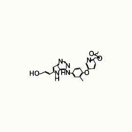 Cc1cc(Nc2ncnc3cc(C=CCO)[nH]c23)ccc1Oc1ccc(S(C)(=O)=O)nc1